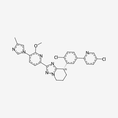 COc1nc(-c2nc3n(n2)CCC[C@H]3c2cc(-c3ccc(Cl)cn3)ccc2Cl)ccc1-n1cnc(C)c1